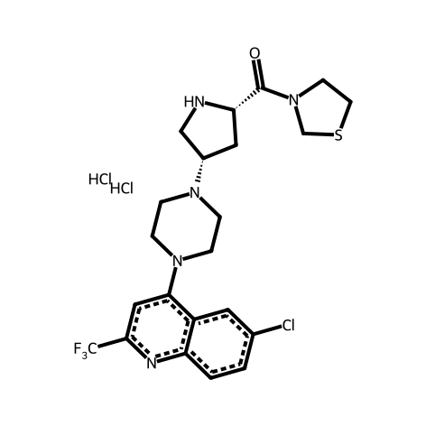 Cl.Cl.O=C([C@@H]1C[C@H](N2CCN(c3cc(C(F)(F)F)nc4ccc(Cl)cc34)CC2)CN1)N1CCSC1